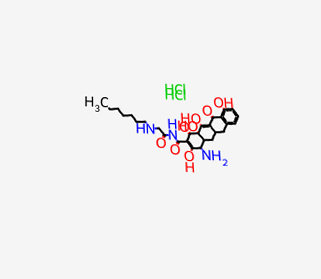 CCCCCCCNCC(=O)NC(=O)C1=C(O)C(N)C2CC3Cc4cccc(O)c4C(=O)C3=C(O)C2(O)C1=O.Cl.Cl